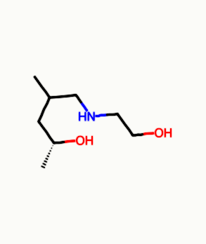 CC(CNCCO)C[C@@H](C)O